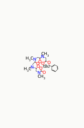 CN(CC(=O)OCc1ccccc1)C(=O)CN(C)C(=O)CN(C)C(=O)CN(C)C(=O)OC(C)(C)C